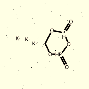 O=[PH]1OCO[PH](=O)O1.[K].[K].[K]